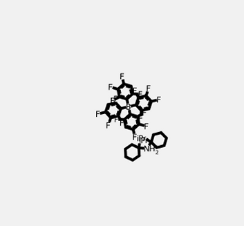 CC(C)C1([NH2+]C2(C(C)C)CCCCC2)CCCCC1.Fc1cc(F)c([B-](c2c(F)cc(F)c(F)c2F)(c2c(F)cc(F)c(F)c2F)c2c(F)cc(F)c(F)c2F)c(F)c1F